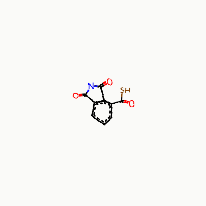 O=C(S)c1cccc2c1C(=O)[N]C2=O